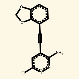 Nc1nnc(Cl)cc1C#Cc1cccc2c1OCO2